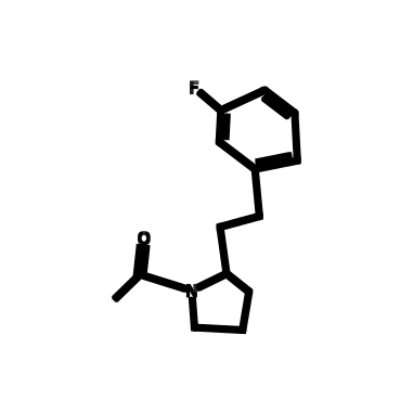 CC(=O)N1CCCC1CCc1cccc(F)c1